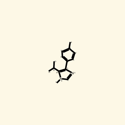 Cc1ccc(-c2ncn(C)c2C(C)C)cc1